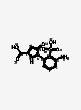 Nc1cccc(-n2[nH]c(C(=O)O)cc2=O)c1S(=O)(=O)O